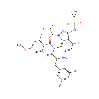 COc1cc(F)c2c(=O)n(-c3ccc(Cl)c4c(NS(=O)(=O)C5CC5)nn(CC(F)F)c34)c(C(N)Cc3cc(F)cc(F)c3)nc2c1